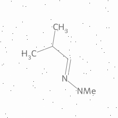 CN/N=C/C(C)C